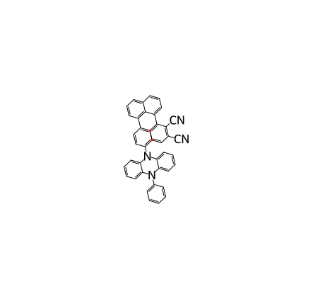 N#Cc1cccc(-c2cccc3cccc(-c4ccc(N5c6ccccc6N(c6ccccc6)c6ccccc65)cc4)c23)c1C#N